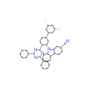 N#Cc1ccc2c3ccccc3n(-c3cc(-c4cc(F)cc(F)c4)ccc3-c3nc(-c4ccccc4)nc(-c4ccccc4)n3)c2c1